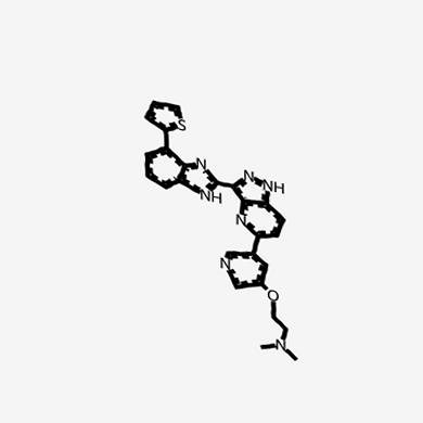 CN(C)CCOc1cncc(-c2ccc3[nH]nc(-c4nc5c(-c6cccs6)cccc5[nH]4)c3n2)c1